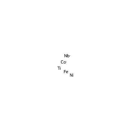 [Co].[Fe].[Nb].[Ni].[Ti]